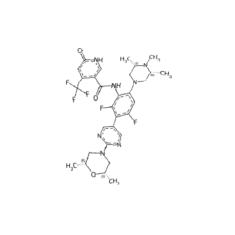 C[C@@H]1CN(c2ncc(-c3c(F)cc(N4C[C@@H](C)N(C)[C@@H](C)C4)c(NC(=O)c4c[nH]c(=O)cc4C(F)(F)F)c3F)cn2)C[C@H](C)O1